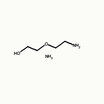 N.NCCOCCO